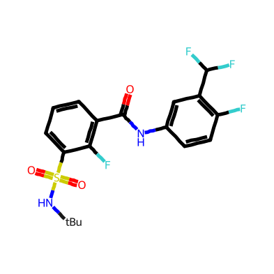 CC(C)(C)NS(=O)(=O)c1cccc(C(=O)Nc2ccc(F)c(C(F)F)c2)c1F